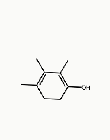 CC1=C(C)C(C)=C(O)CC1